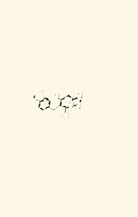 CSc1ccc(Cc2c(N)cc3ncnn3c2C)cc1